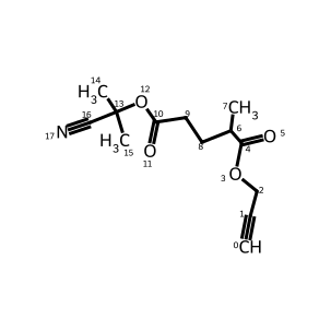 C#CCOC(=O)C(C)CCC(=O)OC(C)(C)C#N